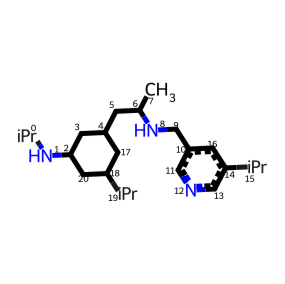 CC(C)NC1CC(CC(C)NCc2cncc(C(C)C)c2)CC(C(C)C)C1